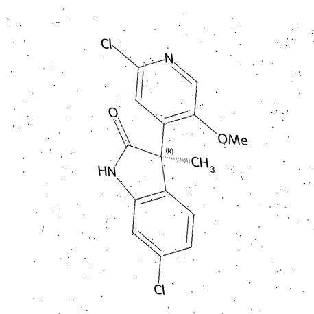 COc1cnc(Cl)cc1[C@]1(C)C(=O)Nc2cc(Cl)ccc21